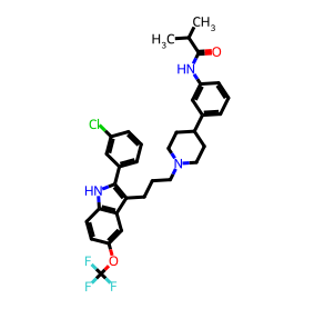 CC(C)C(=O)Nc1cccc(C2CCN(CCCc3c(-c4cccc(Cl)c4)[nH]c4ccc(OC(F)(F)F)cc34)CC2)c1